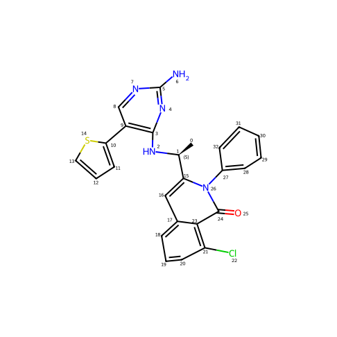 C[C@H](Nc1nc(N)ncc1-c1cccs1)c1cc2cccc(Cl)c2c(=O)n1-c1ccccc1